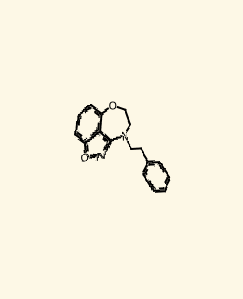 c1ccc(CCN2CCOc3cccc4onc2c34)cc1